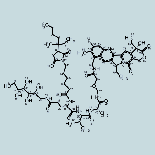 CCCCC(C)(CC)C1CC(=O)N(CCCCCC(=O)N[C@@H](CCC(=O)NC[C@H](O)[C@@H](O)[C@H](O)[C@H](O)CO)C(=O)N[C@H](C(=O)N[C@@H](C)C(=O)NCOCC(=O)NCc2c(C)c(F)cc3nc4c(cc23)C(CC)n2c-4cc3c(c2=O)COC(=O)[C@]3(O)CC)C(C)C)C1=O